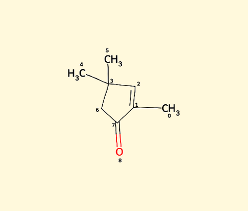 CC1=CC(C)(C)CC1=O